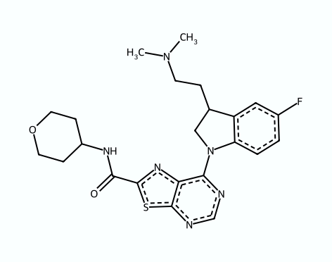 CN(C)CCC1CN(c2ncnc3sc(C(=O)NC4CCOCC4)nc23)c2ccc(F)cc21